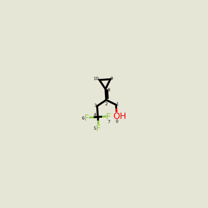 OCC(CC(F)(F)F)=C1CC1